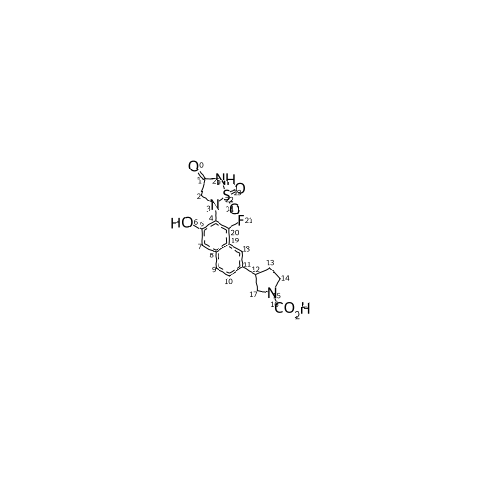 O=C1CN(c2c(O)cc3ccc(C4CCN(C(=O)O)C4)cc3c2F)S(=O)(=O)N1